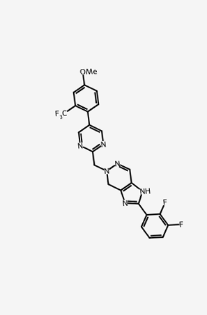 COc1ccc(-c2cnc(CN3Cc4nc(-c5cccc(F)c5F)[nH]c4C=N3)nc2)c(C(F)(F)F)c1